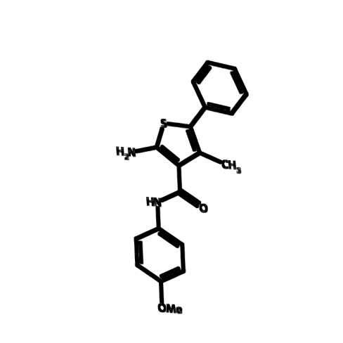 COc1ccc(NC(=O)c2c(N)sc(-c3ccccc3)c2C)cc1